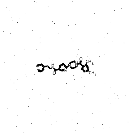 Cc1ccc(C(=O)N2CCN(c3ccc(C(=O)NCCc4ccccc4)cn3)CC2)c(C)c1